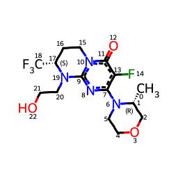 C[C@@H]1COCCN1c1nc2n(c(=O)c1F)CC[C@@H](C(F)(F)F)N2CCO